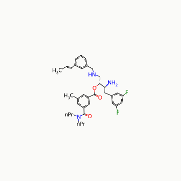 CC=Cc1cccc(CNC[C@@H](OC(=O)c2cc(C)cc(C(=O)N(CCC)CCC)c2)[C@@H](N)Cc2cc(F)cc(F)c2)c1